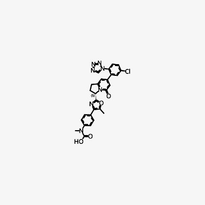 Cc1oc([C@@H]2CCc3cc(-c4cc(Cl)ccc4-n4cnnn4)cc(=O)n32)nc1-c1ccc(N(C)C(=O)O)cc1